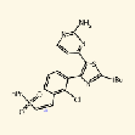 CCCS(=O)(=O)/C=C\c1cccc(-c2nc(C(C)(C)C)sc2-c2ccnc(N)n2)c1Cl